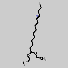 CCOC(CCCCCCCC/C=C/CCI)OCC